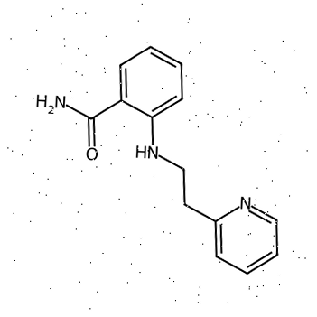 NC(=O)c1ccccc1NCCc1ccccn1